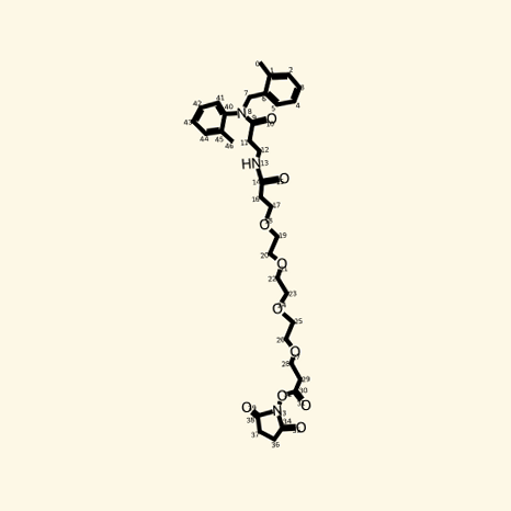 Cc1ccccc1CN(C(=O)CCNC(=O)CCOCCOCCOCCOCCC(=O)ON1C(=O)CCC1=O)c1ccccc1C